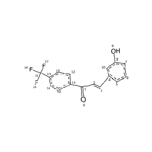 O=C(C=Cc1cccc(O)c1)c1ccc(C(F)(F)F)cc1